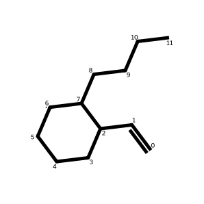 C=CC1CCC[CH]C1CCCC